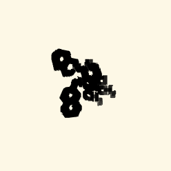 Cc1c(C)n(Cc2ccc3ccccc3c2)c2c(N3CCc4ccccc4C3)nccc12.Cl